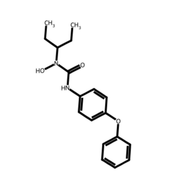 CCC(CC)N(O)C(=O)Nc1ccc(Oc2ccccc2)cc1